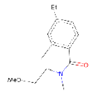 CCc1ccc(C(=O)N(C)CCOC)c(C)c1